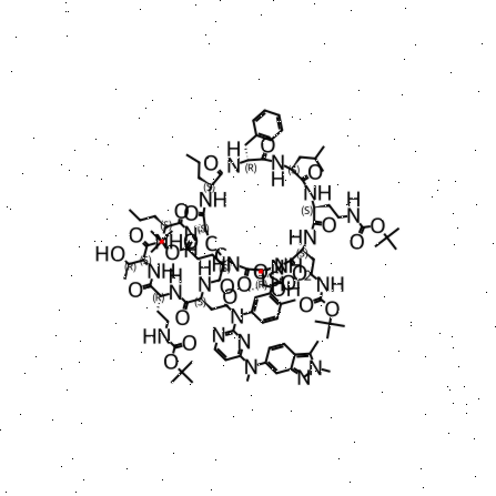 CCC[C@@H]1NC(=O)[C@@H](NC(=O)[C@H](CCC)NC(=O)[C@@H](NC(=O)[C@@H](CCNC(=O)OC(C)(C)C)NC(=O)[C@H](CC(=O)N(c2ccc(C)c(S(N)(=O)=O)c2)c2nccc(N(C)c3ccc4c(C)n(C)nc4c3)n2)NC(=O)[C@@H](C)CCC(=O)OC(C)(C)C)[C@@H](C)O)CCNC(=O)[C@H]([C@@H](C)O)NC(=O)[C@H](CCNC(=O)OC(C)(C)C)NC(=O)[C@H](CCNC(=O)OC(C)(C)C)NC(=O)[C@H](CC(C)C)NC(=O)[C@@H](Cc2ccccc2)NC1=O